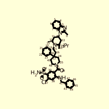 Cc1nc2ccccc2n1[C@@H]1C[C@H](C)N(CCC2(c3ccccc3)CCN(C(=O)c3cc(S(N)(=O)=O)c(Cl)cc3NCc3ccccc3)CC2)[C@@](C)(C(C)C)C1